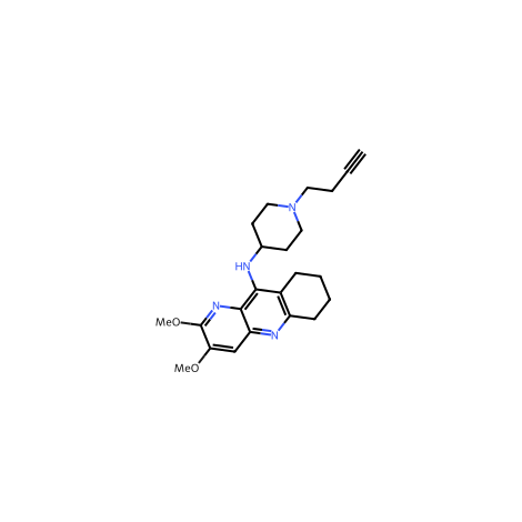 C#CCCN1CCC(Nc2c3c(nc4cc(OC)c(OC)nc24)CCCC3)CC1